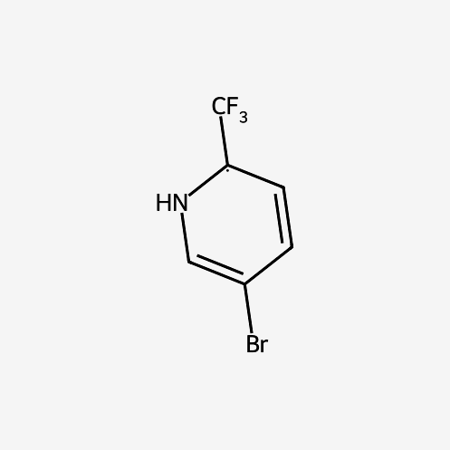 FC(F)(F)[C]1C=CC(Br)=CN1